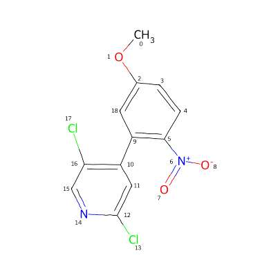 COc1ccc([N+](=O)[O-])c(-c2cc(Cl)ncc2Cl)c1